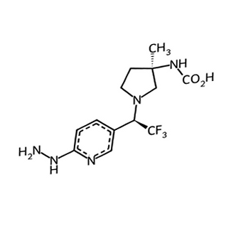 C[C@@]1(NC(=O)O)CCN([C@H](c2ccc(NN)nc2)C(F)(F)F)C1